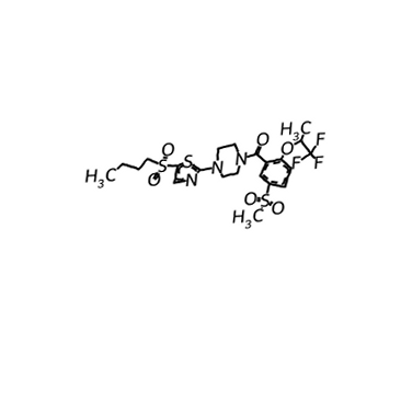 CCCCS(=O)(=O)c1cnc(N2CCN(C(=O)c3cc(S(C)(=O)=O)ccc3OC(C)C(F)(F)F)CC2)s1